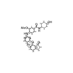 COc1cc(C(=O)NC2CCC(O)CC2)ccc1Nc1ncc(C(F)(F)F)c(Oc2cccc3c2C(=O)CC3)n1